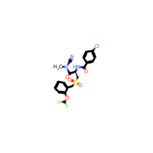 CN(C#N)C(=O)[C@H](CS(=O)(=O)Cc1ccccc1OC(F)F)NC(=O)c1ccc(Cl)cc1